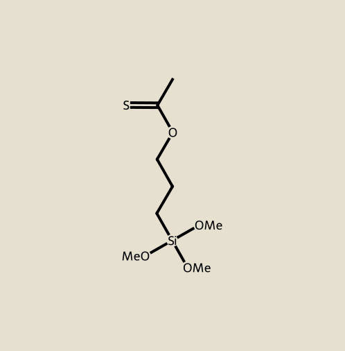 CO[Si](CCCOC(C)=S)(OC)OC